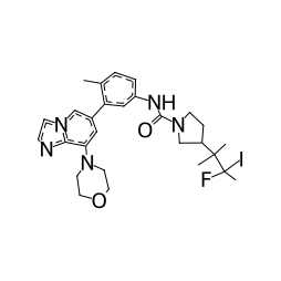 Cc1ccc(NC(=O)N2CCC(C(C)(C)C(C)(F)I)C2)cc1-c1cc(N2CCOCC2)c2nccn2c1